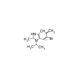 C=C/C(Br)=C\C1=C(C)NC(C)N1C(C)C